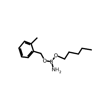 CCCCCOB(N)OCc1ccccc1C